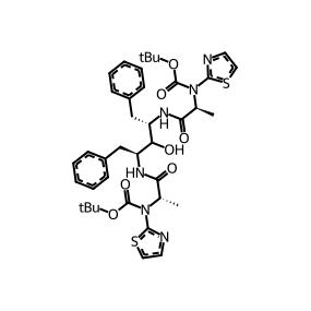 C[C@@H](C(=O)N[C@@H](Cc1ccccc1)C(O)[C@H](Cc1ccccc1)NC(=O)[C@H](C)N(C(=O)OC(C)(C)C)c1nccs1)N(C(=O)OC(C)(C)C)c1nccs1